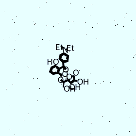 CCN(CC)c1ccc(C(=O)c2ccccc2C(=O)O[C@H](CO)[C@H]2OC(=O)C(O)=C2O)c(O)c1